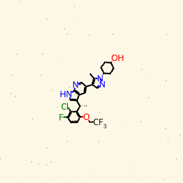 Cc1c(-c2cnc3[nH]cc([C@H](C)c4c(OCC(F)(F)F)ccc(F)c4Cl)c3c2)cnn1[C@H]1CC[C@H](O)CC1